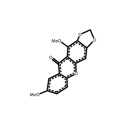 COc1ccc2oc3cc4c(c(OC)c3c(=O)c2c1)OCO4